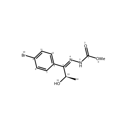 COC(=O)NN=C(c1ccc(Br)cc1)[C@@H](C)O